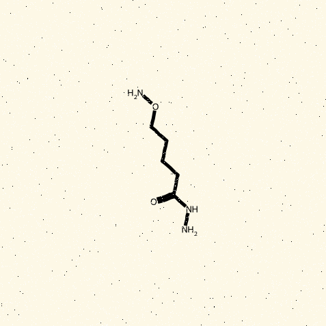 NNC(=O)CCCCON